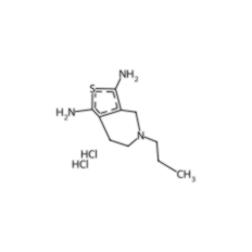 CCCN1CCc2c(N)sc(N)c2C1.Cl.Cl